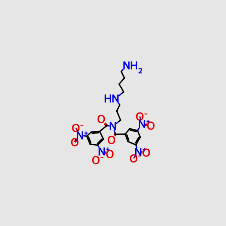 NCCCCNCCCN(C(=O)c1cc([N+](=O)[O-])cc([N+](=O)[O-])c1)C(=O)c1cc([N+](=O)[O-])cc([N+](=O)[O-])c1